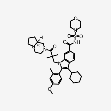 COc1ccc(-c2c(C3CCCCC3)c3ccc(C(=O)NS(=O)(=O)N4CCOCC4)cc3n2CC(C)(C)C(=O)N2CCN3CCC[C@@H]3C2)c(C)c1